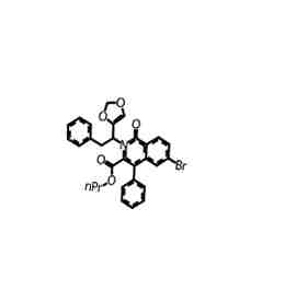 CCCOC(=O)c1c(-c2ccccc2)c2cc(Br)ccc2c(=O)n1C(Cc1ccccc1)C1=COCO1